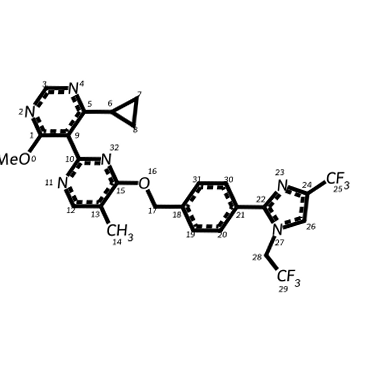 COc1ncnc(C2CC2)c1-c1ncc(C)c(OCc2ccc(-c3nc(C(F)(F)F)cn3CC(F)(F)F)cc2)n1